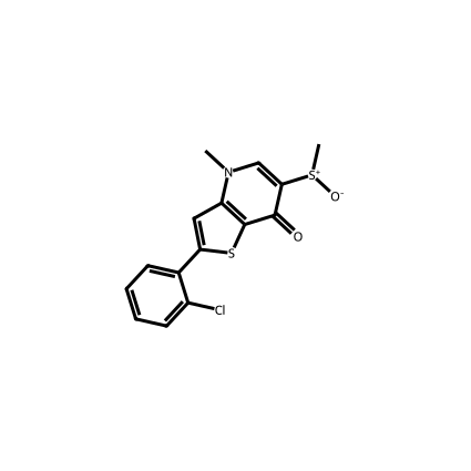 Cn1cc([S+](C)[O-])c(=O)c2sc(-c3ccccc3Cl)cc21